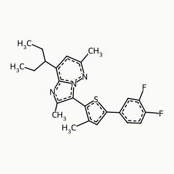 CCC(CC)c1cc(C)nn2c(-c3sc(-c4ccc(F)c(F)c4)cc3C)c(C)nc12